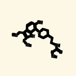 CC(C)(C)Cc1c(SC(C)(C)C)[nH]c2c(N3CCC(CCNC(=O)OC(C)(C)C)CC3)c(O)ccc12